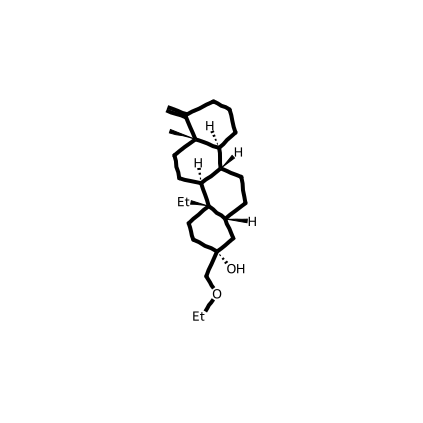 C=C1CCC[C@H]2[C@@H]3CC[C@@H]4C[C@@](O)(COCC)CC[C@]4(CC)[C@H]3CC[C@]12C